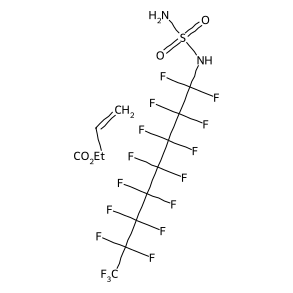 C=CC(=O)OCC.NS(=O)(=O)NC(F)(F)C(F)(F)C(F)(F)C(F)(F)C(F)(F)C(F)(F)C(F)(F)C(F)(F)F